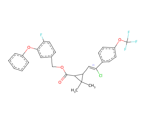 CC1(C)C(/C=C(\Cl)c2ccc(OC(F)(F)F)cc2)C1C(=O)OCc1ccc(F)c(Oc2ccccc2)c1